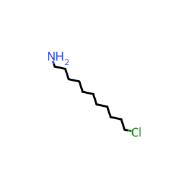 NCCCCCCCCCCCCl